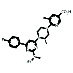 Cc1cc(C(=O)O)cnc1N1CCN(c2cc(-c3ccc(F)cc3)nc(N(C)C(C)C)n2)[C@H](C)C1